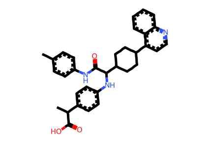 Cc1ccc(NC(=O)C(Nc2ccc(C(C)C(=O)O)cc2)C2CCC(c3ccnc4ccccc34)CC2)cc1